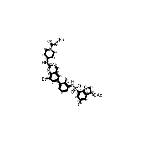 CCc1cc(-c2cccc(NS(=O)(=O)c3cc(Cl)cc4c3OC[C@H]4OC(C)=O)c2F)cc2cnc(NC3CCN(C(=O)OC(C)(C)C)CC3)nc12